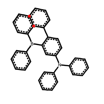 c1ccc(B(c2ccccc2)c2cc(N(c3ccccc3)c3ccccc3)ccc2-c2ccccn2)cc1